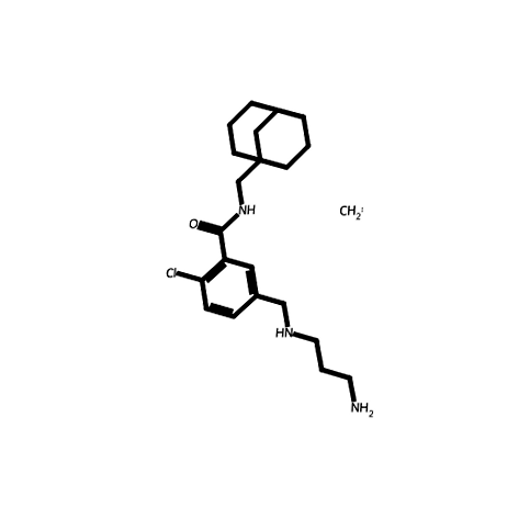 NCCCNCc1ccc(Cl)c(C(=O)NCC23CCCC(CCC2)C3)c1.[CH2]